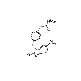 CNC(=O)Cc1ccc(Cn2c(=O)[nH]c3ccc(P)cc32)cc1